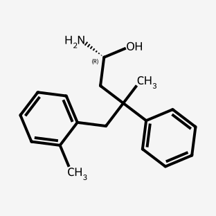 Cc1ccccc1CC(C)(C[C@H](N)O)c1ccccc1